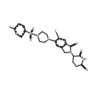 Cc1ccc(S(=O)(=O)N2CCN(c3cc4c(cc3F)C(=O)N(C3CCC(=O)NC3=O)C4)CC2)cn1